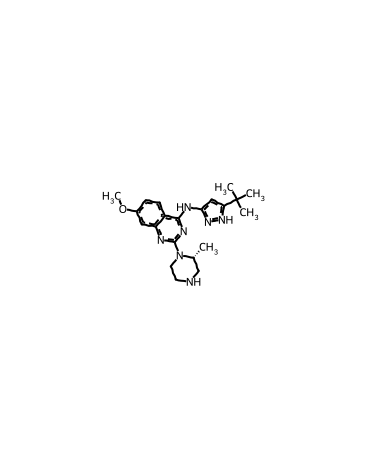 COc1ccc2c(Nc3cc(C(C)(C)C)[nH]n3)nc(N3CCNC[C@H]3C)nc2c1